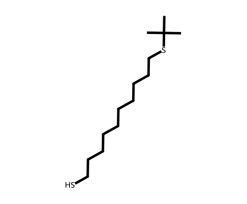 CC(C)(C)SCCCCCCCCCCS